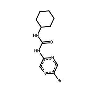 O=C(Nc1cnc(Br)cn1)NC1CCCCC1